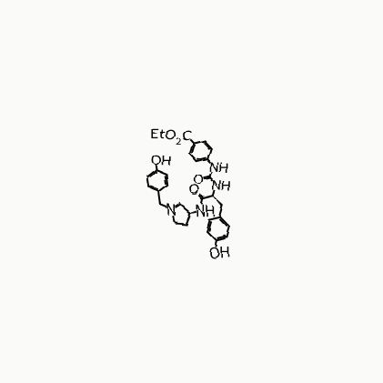 CCOC(=O)c1ccc(NC(=O)N[C@@H](Cc2ccc(O)cc2)C(=O)N[C@H]2CCN(Cc3ccc(O)cc3)C2)cc1